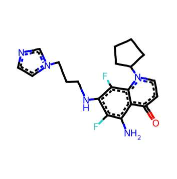 Nc1c(F)c(NCCCn2ccnc2)c(F)c2c1c(=O)ccn2C1CCCC1